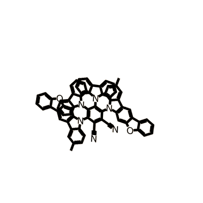 Cc1ccc2c(c1)c1cc3c(cc1n2-c1c(C#N)c(C#N)c(-n2c4ccc(C)cc4c4cc5c(cc42)oc2ccccc25)c(-n2c4ccccc4c4ccccc42)c1-n1c2ccccc2c2ccccc21)oc1ccccc13